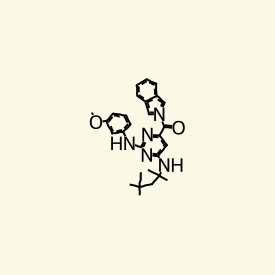 COc1cccc(Nc2nc(NC(C)(C)CC(C)(C)C)cc(C(=O)n3cc4ccccc4c3)n2)c1